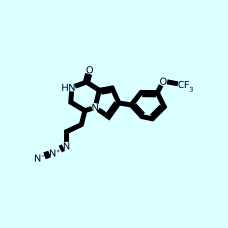 [N-]=[N+]=NCCC1CNC(=O)c2cc(-c3cccc(OC(F)(F)F)c3)cn21